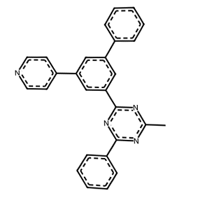 Cc1nc(-c2ccccc2)nc(-c2cc(-c3ccccc3)cc(-c3ccncc3)c2)n1